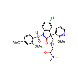 COc1ccc(S(=O)(=O)N2C(=O)C(CNCC(=O)N(C)C)(c3cccnc3OC)c3cc(Cl)ccc32)c(OC)c1